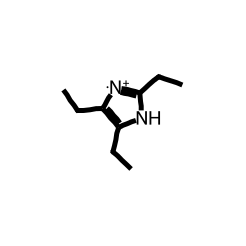 CCC1=[N+]C(CC)=C(CC)N1